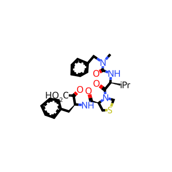 CC(C)[C@H](NC(=O)N(C)Cc1ccccc1)C(=O)N1CSC[C@H]1C(=O)N[C@@H](Cc1ccccc1)C(=O)C(=O)O